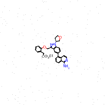 CCOC(=O)Cc1ccccc1OCc1nn([C@H]2CCOC2)c2ccc(-c3cccc4c(N)nccc34)cc12